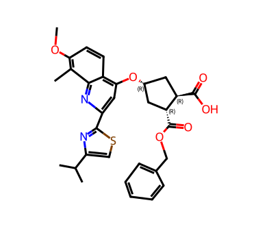 COc1ccc2c(O[C@@H]3C[C@@H](C(=O)O)[C@H](C(=O)OCc4ccccc4)C3)cc(-c3nc(C(C)C)cs3)nc2c1C